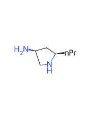 CCC[C@@H]1C[C@H](N)CN1